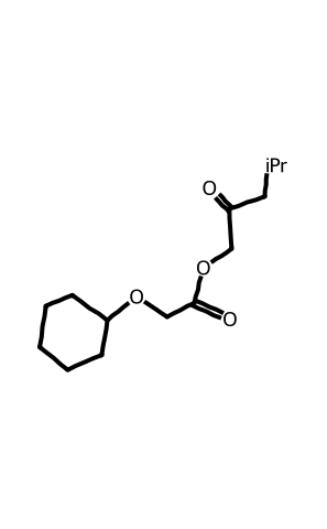 CC(C)CC(=O)COC(=O)COC1CCCCC1